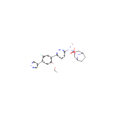 COCOc1cc(-c2cn[nH]c2)c(F)cc1-c1ccc(N(C)C2C[C@]3(C)CC[C@](C)(C2)N3C(=O)OC(C)(C)C)nn1